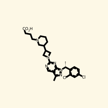 Cc1nn([C@H](C)c2ccc(Cl)cc2Cl)c2nc(N3CC(C4CCCN(CCCC(=O)O)C4)C3)ncc12